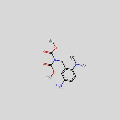 CC(=O)N(C)c1ccc(N)cc1CN(C(=O)OC(C)(C)C)C(=O)OC(C)(C)C